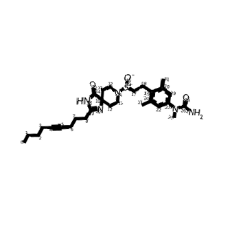 CCCCC#CCCCC1=NC2(CCN([S+]([O-])CCc3c(C)cc(N(C)C(N)=O)cc3C)CC2)C(=O)N1